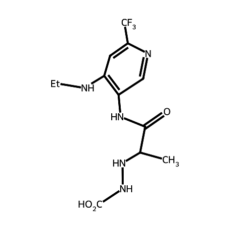 CCNc1cc(C(F)(F)F)ncc1NC(=O)C(C)NNC(=O)O